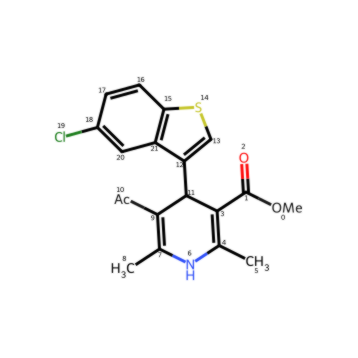 COC(=O)C1=C(C)NC(C)=C(C(C)=O)C1c1csc2ccc(Cl)cc12